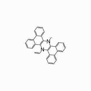 C=CN1c2c(c3ccccc3c3ccccc23)N(C)c2c1c1ccccc1c1ccccc21